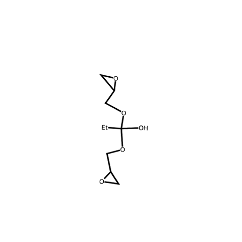 CCC(O)(OCC1CO1)OCC1CO1